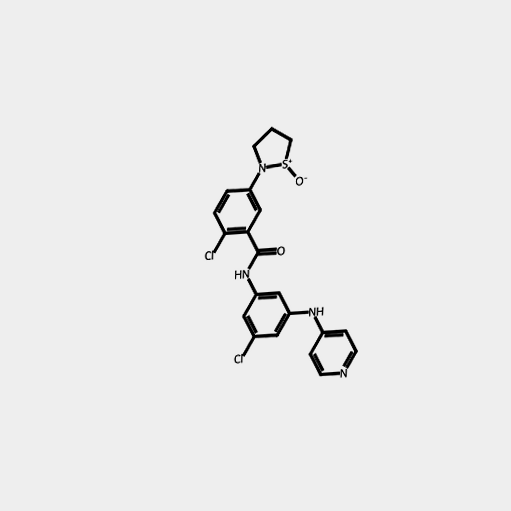 O=C(Nc1cc(Cl)cc(Nc2ccncc2)c1)c1cc(N2CCC[S+]2[O-])ccc1Cl